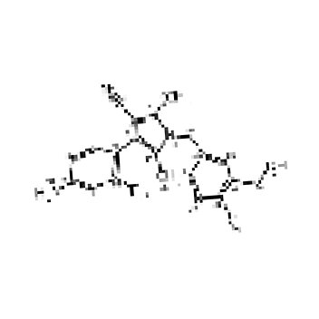 Cc1c(C#N)c(-c2ccc(N)cc2F)c(C)n1Cc1cnc(Cl)c(CO)c1